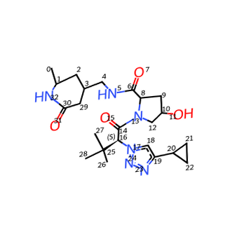 CC1CC(CNC(=O)C2CC(O)CN2C(=O)[C@@H](n2cc(C3CC3)nn2)C(C)(C)C)CC(=O)N1